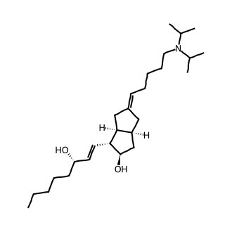 CCCCC[C@H](O)/C=C/[C@@H]1[C@H]2C/C(=C/CCCCN(C(C)C)C(C)C)C[C@H]2C[C@H]1O